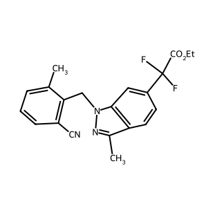 CCOC(=O)C(F)(F)c1ccc2c(C)nn(Cc3c(C)cccc3C#N)c2c1